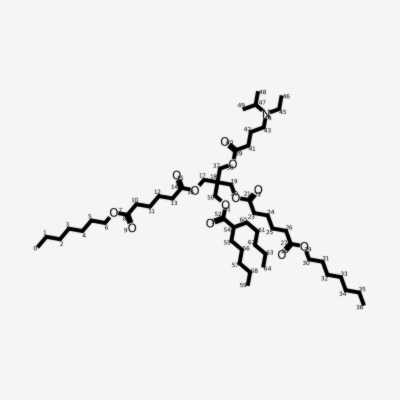 CCCCCCCOC(=O)CCCCC(=O)OCC(COC(=O)CCCCC(=O)OCCCCCCC)(COC(=O)CCCN(CC)C(C)C)COC(=O)C(CCCCC)CCCCC